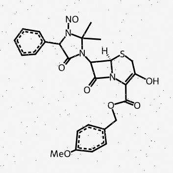 COc1ccc(COC(=O)C2=C(O)CS[C@@H]3C(N4C(=O)C(c5ccccc5)N(N=O)C4(C)C)C(=O)N23)cc1